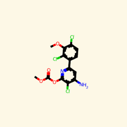 COC(=O)Oc1nc(-c2ccc(Cl)c(OC)c2Cl)cc(N)c1Cl